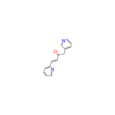 O=C(C=Cc1ccccn1)Cc1cccnc1